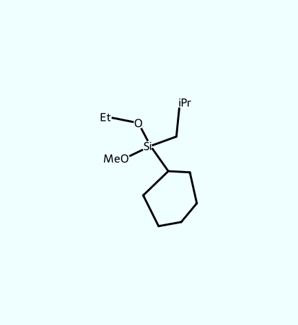 CCO[Si](CC(C)C)(OC)C1CCCCC1